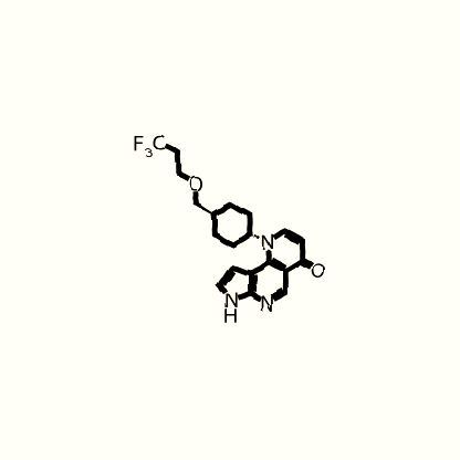 O=c1ccn([C@H]2CC[C@H](COCCC(F)(F)F)CC2)c2c1cnc1[nH]ccc12